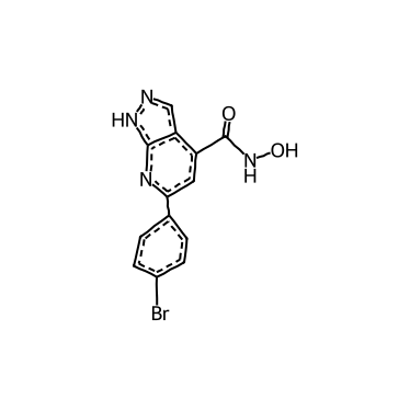 O=C(NO)c1cc(-c2ccc(Br)cc2)nc2[nH]ncc12